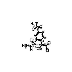 NNS(=O)(=O)c1cc(S(N)(=O)=O)ccc1C(Cl)=C(Cl)Cl